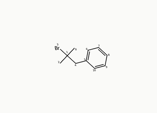 CC(C)(Br)Cc1ccccc1